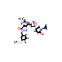 COc1cc(CNC(=O)c2cc(C3=NO[C@H](c4ccc(=O)n(C5CC5)c4)C3)nc(C)n2)ccc1F